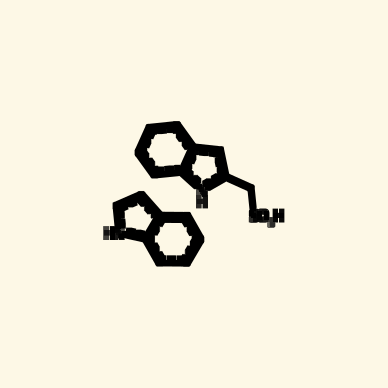 O=S(=O)(O)Cc1cc2ccccc2[nH]1.c1ccc2[nH]ccc2c1